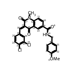 COc1ccc(CNC(=O)c2ccc3c(c2)C(=O)/C(=C\c2ccc(Cl)c(Cl)c2)C(=O)N3C)cc1